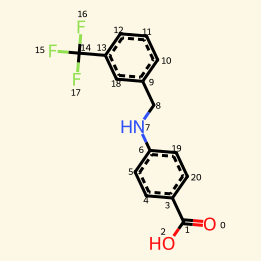 O=C(O)c1ccc(NCc2cccc(C(F)(F)F)c2)cc1